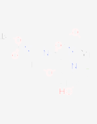 C[C@@H]1COCCN1c1nc(-c2c(O)cccc2F)c(Cl)c2c1C(=O)N1CCN(C(=O)OC(C)(C)C)C[C@@H]1CO2